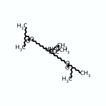 CCCCCC(CCCCC)CC(=O)OCCCCCCCCCC(CCCCCCCCCOC(=O)CC(CCCCC)CCCCC)NC(=O)CN(C)C(C)C